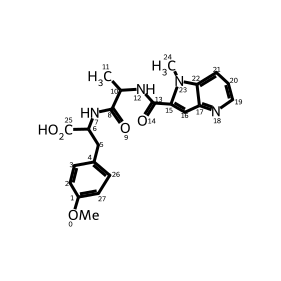 COc1ccc(CC(NC(=O)C(C)NC(=O)c2cc3ncccc3n2C)C(=O)O)cc1